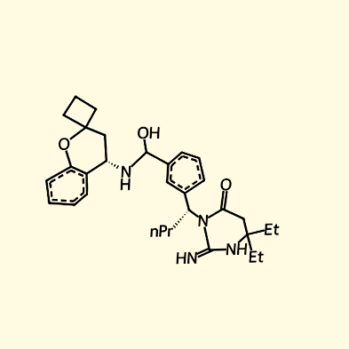 CCC[C@H](c1cccc(C(O)N[C@H]2CC3(CCC3)Oc3ccccc32)c1)N1C(=N)NC(CC)(CC)CC1=O